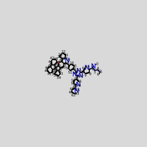 C=N/C(=C\C=C/C)c1ccc(-c2nc(-c3ccc(-c4nc5ccccc5c5cc6c(cc45)-c4ccccc4C64c5ccccc5-c5ccccc54)cc3)nc(-c3ccc(-c4ccccn4)nc3)n2)cn1